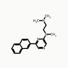 CN(C)CCN(C)c1cncc(-c2ccc3ccccc3c2)n1